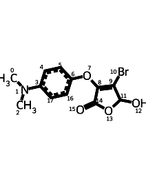 CN(C)c1ccc(OC2=C(Br)C(O)OC2=O)cc1